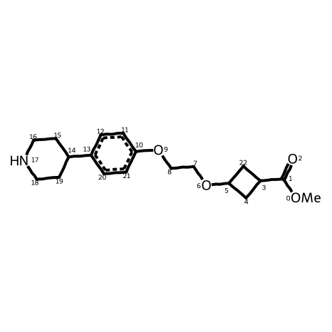 COC(=O)C1CC(OCCOc2ccc(C3CCNCC3)cc2)C1